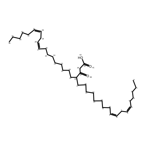 CCCCC/C=C\C/C=C\CCCCCCCCC(CCCCCCCC/C=C\C/C=C\CCCCC)C(=O)CC(=O)O